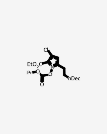 CCCCCCCCCCCCc1cc(Cl)c(C(=O)OCC)n1OC(=O)OC(C)C